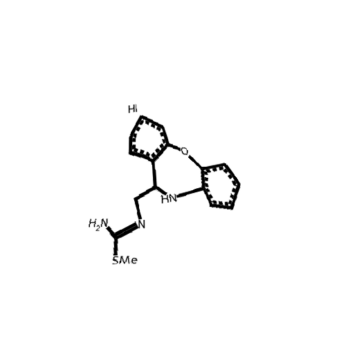 CSC(N)=NCC1Nc2ccccc2Oc2ccccc21.I